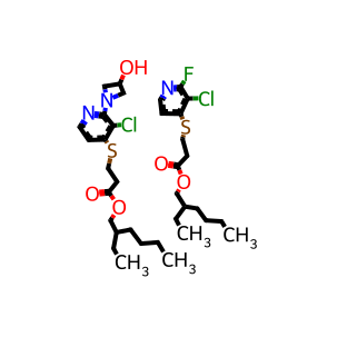 CCCCC(CC)COC(=O)CCSc1ccnc(F)c1Cl.CCCCC(CC)COC(=O)CCSc1ccnc(N2CC(O)C2)c1Cl